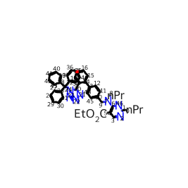 CCCc1ncc(C(=O)OCC)c(N(CCC)Cc2ccc(-c3ccccc3-c3nnnn3C(c3ccccc3)(c3ccccc3)c3ccccc3)cc2)n1